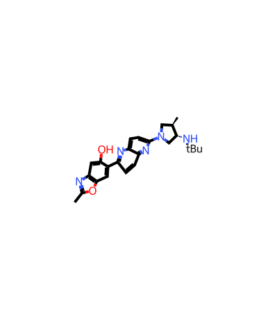 Cc1nc2cc(O)c(-c3ccc4nc(N5C[C@@H](C)[C@H](NC(C)(C)C)C5)ccc4n3)cc2o1